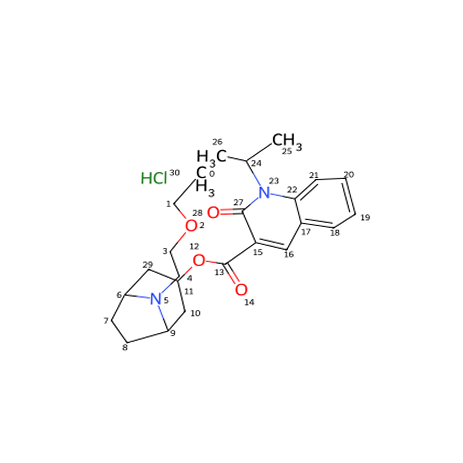 CCOCCN1C2CCC1CC(OC(=O)c1cc3ccccc3n(C(C)C)c1=O)C2.Cl